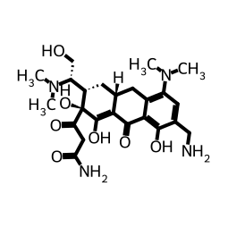 CN(C)c1cc(CN)c(O)c2c1C[C@H]1C[C@@H]([C@@H](CO)N(C)C)[C@@](O)(C(=O)CC(N)=O)C(O)=C1C2=O